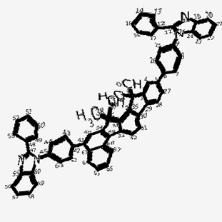 CC1(C)c2cc(-c3ccc(-n4c(-c5ccccc5)nc5ccccc54)cc3)ccc2-c2ccc3c(c21)C(C)(C)c1cc(-c2ccc(-n4c(-c5ccccc5)nc5ccccc54)cc2)c2ccccc2c1-3